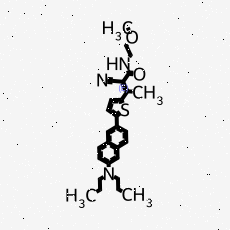 CCCN(CCC)c1ccc2cc(-c3ccc(/C(C)=C(\C#N)C(=O)NCCOC)s3)ccc2c1